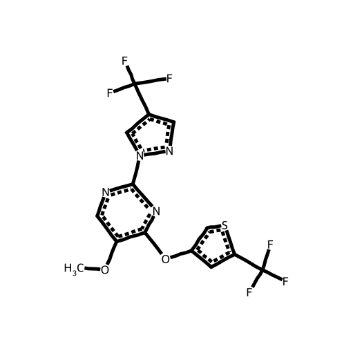 COc1cnc(-n2cc(C(F)(F)F)cn2)nc1Oc1csc(C(F)(F)F)c1